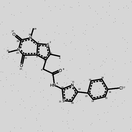 Cc1sc2c(c1CC(=O)Nc1nc(-c3ccc(Cl)cc3)cs1)c(=O)n(C)c(=O)n2C